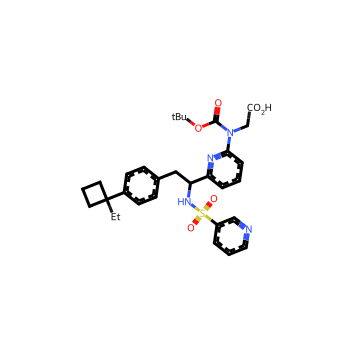 CCC1(c2ccc(CC(NS(=O)(=O)c3cccnc3)c3cccc(N(CC(=O)O)C(=O)OC(C)(C)C)n3)cc2)CCC1